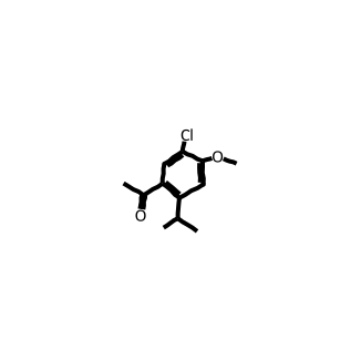 COc1cc(C(C)C)c(C(C)=O)cc1Cl